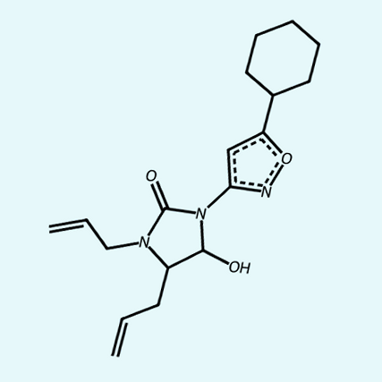 C=CCC1C(O)N(c2cc(C3CCCCC3)on2)C(=O)N1CC=C